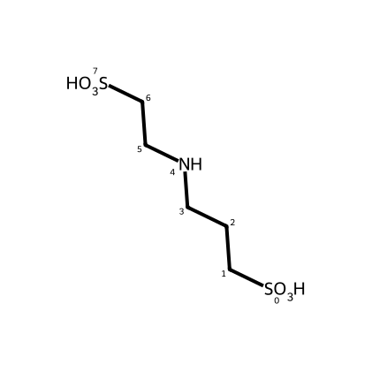 O=S(=O)(O)CCCNCCS(=O)(=O)O